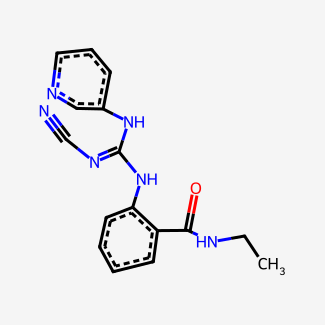 CCNC(=O)c1ccccc1NC(=NC#N)Nc1cccnc1